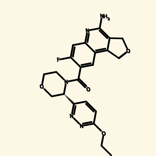 CCOc1ccc([C@@H]2COCCN2C(=O)c2cc3c4c(c(N)nc3cc2F)COC4)nn1